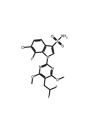 COc1nc(-n2cc(S(N)(=O)=O)c3ccc(Cl)c(F)c32)nc(OC)c1CC(F)F